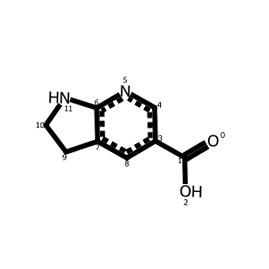 O=C(O)c1cnc2c(c1)CCN2